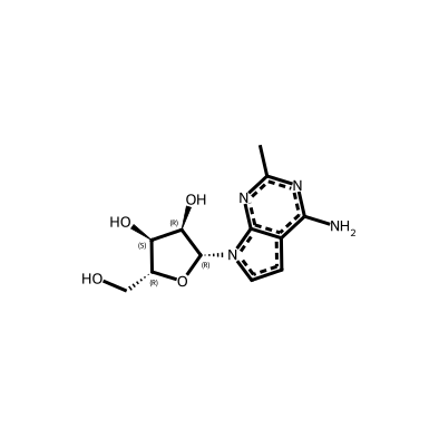 Cc1nc(N)c2ccn([C@@H]3O[C@H](CO)[C@@H](O)[C@H]3O)c2n1